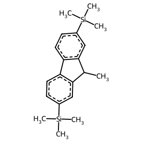 CC1c2cc([Si](C)(C)C)ccc2-c2ccc([Si](C)(C)C)cc21